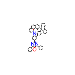 c1ccc(-c2nc(-c3ccc4c(c3)c3ccc5c(c3n4-c3ccccc3)-c3c(ccc4ccccc34)C53c4ccccc4-c4ccccc43)nc3c2oc2ccccc23)cc1